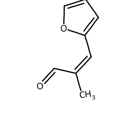 CC(C=O)=Cc1ccco1